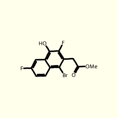 COC(=O)Cc1c(F)c(O)c2cc(F)ccc2c1Br